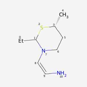 CCC1S[C@H](C)CCN1/C=C\N